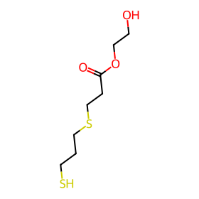 O=C(CCSCCCS)OCCO